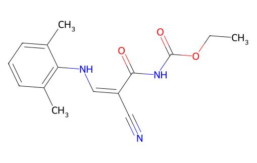 CCOC(=O)NC(=O)C(C#N)=CNc1c(C)cccc1C